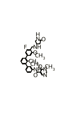 COc1cc(-c2cccc(-c3cccc(NC(=O)c4cncn(C)c4=O)c3C)c2C)cc(F)c1CN[C@H]1CNC(=O)C1